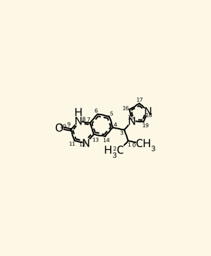 CC(C)C(c1ccc2[nH]c(=O)cnc2c1)n1ccnc1